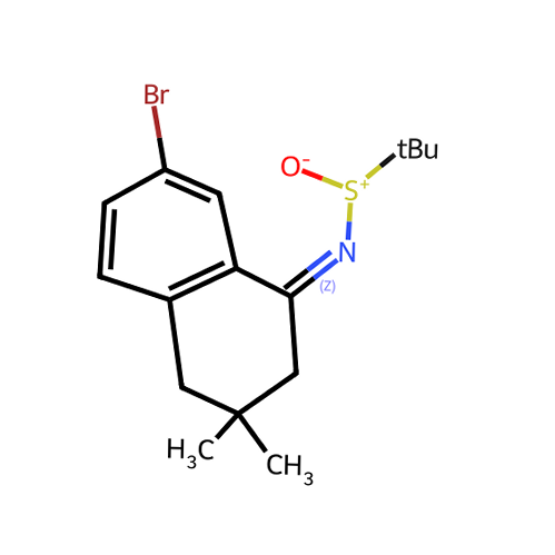 CC1(C)C/C(=N/[S+]([O-])C(C)(C)C)c2cc(Br)ccc2C1